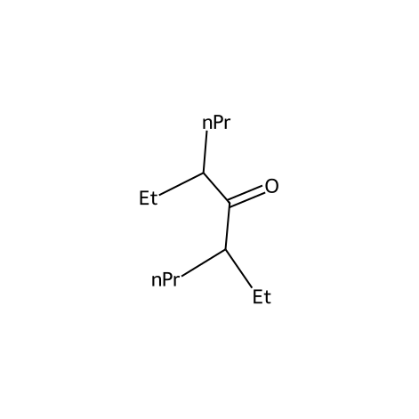 CCCC(CC)C(=O)C(CC)CCC